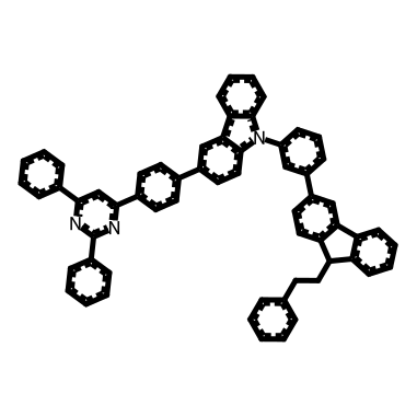 c1ccc(CCC2c3ccccc3-c3cc(-c4cccc(-n5c6ccccc6c6cc(-c7ccc(-c8cc(-c9ccccc9)nc(-c9ccccc9)n8)cc7)ccc65)c4)ccc32)cc1